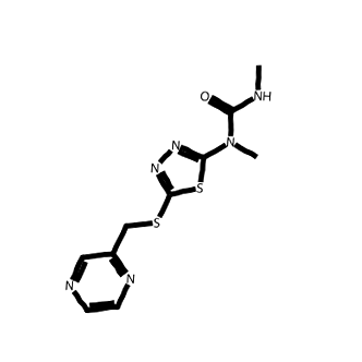 CNC(=O)N(C)c1nnc(SCc2cnccn2)s1